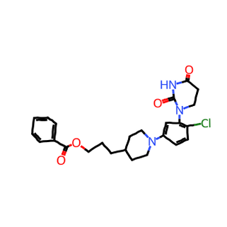 O=C1CCN(c2cc(N3CCC(CCCOC(=O)c4ccccc4)CC3)ccc2Cl)C(=O)N1